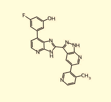 Cc1ccncc1-c1cnc2[nH]nc(-c3nc4c(-c5cc(O)cc(F)c5)ccnc4[nH]3)c2c1